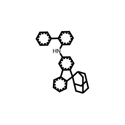 c1ccc(-c2ccccc2Nc2ccc3c(c2)-c2ccccc2C32C3CC4CC(C3)CC2C4)cc1